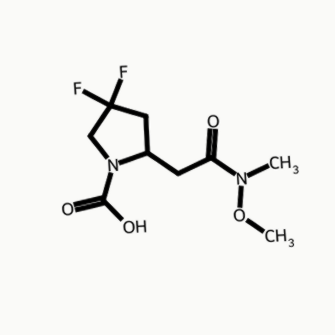 CON(C)C(=O)CC1CC(F)(F)CN1C(=O)O